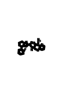 CN1C(=O)C(NC(=O)c2cc3n(n2)CCOC3c2ccccc2F)COc2cccnc21